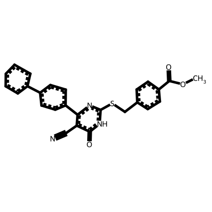 COC(=O)c1ccc(CSc2nc(-c3ccc(-c4ccccc4)cc3)c(C#N)c(=O)[nH]2)cc1